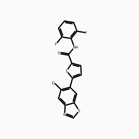 O=C(Nc1c(F)cccc1F)c1ccc(-c2cc3scnc3cc2Cl)s1